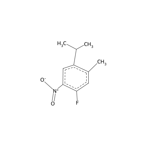 Cc1cc(F)c([N+](=O)[O-])cc1C(C)C